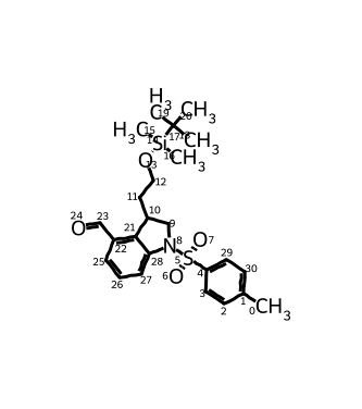 Cc1ccc(S(=O)(=O)N2CC(CCO[Si](C)(C)C(C)(C)C)c3c(C=O)cccc32)cc1